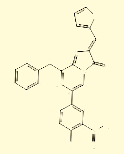 O=C1/C(=C/c2ccco2)N=C2C(Cc3ccccc3)=NC(c3ccc(F)c([N+](=O)[O-])c3)=CN12